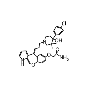 CC1(C)CN(CCC=C2C3=CC=CNC3=COc3ccc(OCC(N)=O)cc32)CCC1(O)c1ccc(Cl)cc1